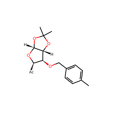 CC(=O)[C@H]1O[C@@H]2OC(C)(C)O[C@@H]2[C@H]1OCc1ccc(C)cc1